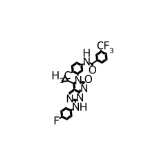 Cc1ccc(NC(=O)c2cccc(C(F)(F)F)c2)cc1-n1c(C2CC2)c2cnc(Nc3ccc(F)cc3)nc2nc1=O